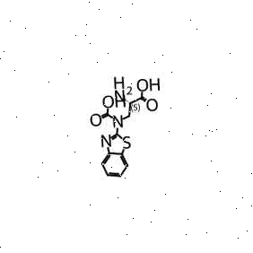 N[C@@H](CN(C(=O)O)c1nc2ccccc2s1)C(=O)O